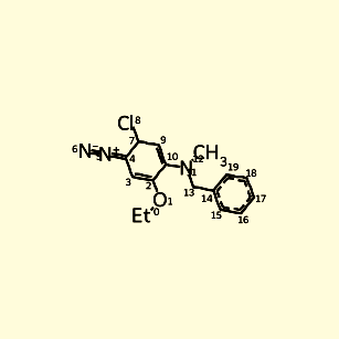 CCOC1=CC(=[N+]=[N-])C(Cl)C=C1N(C)Cc1ccccc1